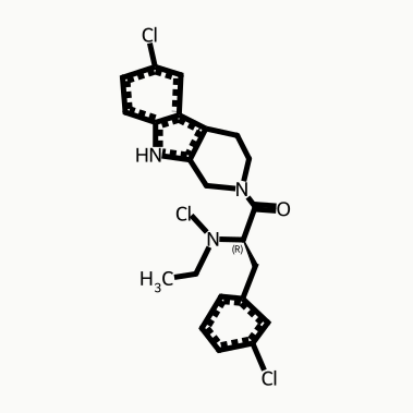 CCN(Cl)[C@H](Cc1cccc(Cl)c1)C(=O)N1CCc2c([nH]c3ccc(Cl)cc23)C1